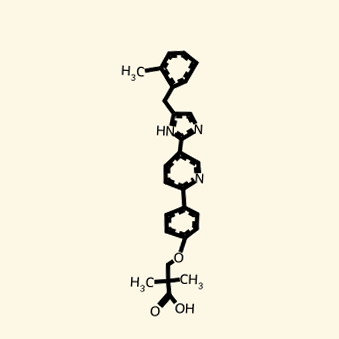 Cc1ccccc1Cc1cnc(-c2ccc(-c3ccc(OCC(C)(C)C(=O)O)cc3)nc2)[nH]1